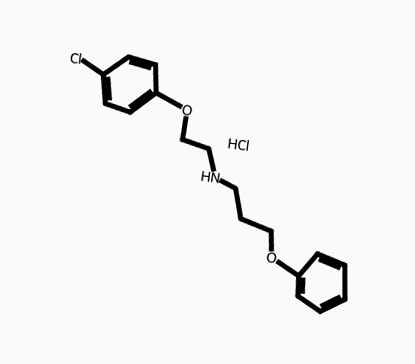 Cl.Clc1ccc(OCCNCCCOc2ccccc2)cc1